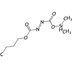 CCCCOC(=O)N=NC(=O)O[SiH](C)C